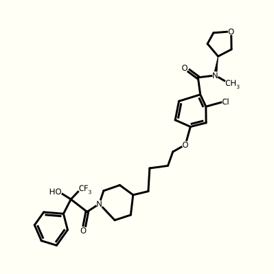 CN(C(=O)c1ccc(OCCCCC2CCN(C(=O)C(O)(c3ccccc3)C(F)(F)F)CC2)cc1Cl)[C@H]1CCOC1